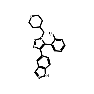 Cc1ccccc1-c1c(-c2ccc3[nH]ncc3c2)nnn1CC1CCOCC1